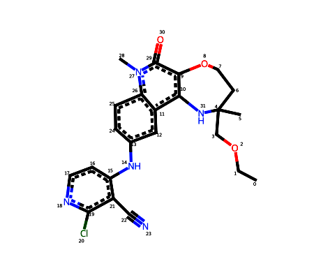 CCOCC1(C)CCOc2c(c3cc(Nc4ccnc(Cl)c4C#N)ccc3n(C)c2=O)N1